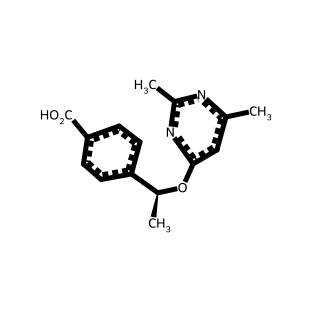 Cc1cc(O[C@@H](C)c2ccc(C(=O)O)cc2)nc(C)n1